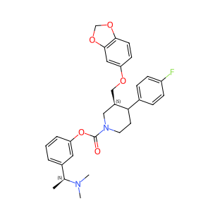 C[C@@H](c1cccc(OC(=O)N2CCC(c3ccc(F)cc3)[C@H](COc3ccc4c(c3)OCO4)C2)c1)N(C)C